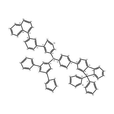 c1ccc(-c2cc(-c3ccccc3)cc(N(c3ccc(-c4ccc5c(c4)C(c4ccccc4)(c4ccccc4)c4ccccc4-5)cc3)c3cccc(-c4cccc(-c5cccc6ccccc56)c4)c3)c2)cc1